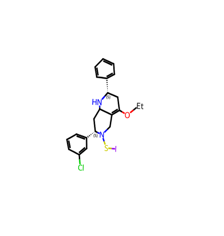 CCOC1=C2CN(SI)[C@H](c3cccc(Cl)c3)CC2N[C@H](c2ccccc2)C1